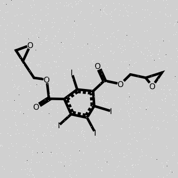 O=C(OCC1CO1)c1c(I)c(I)c(I)c(C(=O)OCC2CO2)c1I